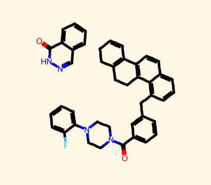 O=C(c1cccc(Cc2cccc3ccc4c(c23)CCC2=C4C=CCC2)c1)N1CCN(c2ccccc2F)CC1.O=c1[nH]ncc2ccccc12